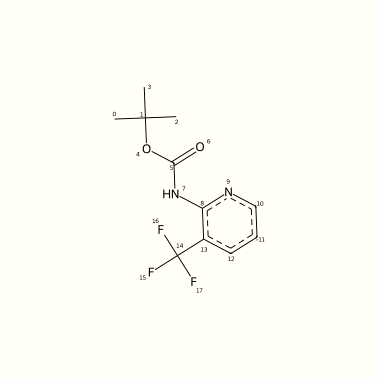 CC(C)(C)OC(=O)Nc1nc[c]cc1C(F)(F)F